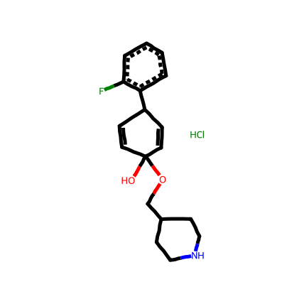 Cl.OC1(OCC2CCNCC2)C=CC(c2ccccc2F)C=C1